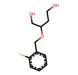 OCCC(CO)OCc1ccccc1F